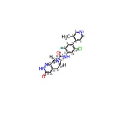 Cc1cnccc1-c1cc(F)c(NC(=O)N2[C@H]3CC[C@@H]2c2n[nH]c(=O)cc2C3)cc1Cl